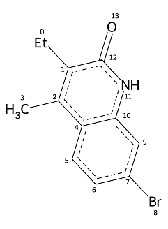 CCc1c(C)c2ccc(Br)cc2[nH]c1=O